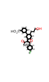 CNC(=O)c1c(-c2ccc(F)cc2)oc2cc(CCCO)c(-c3cccc(C(=O)O)c3)cc12